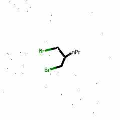 CCCC(CBr)CBr